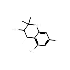 C[C@H]1c2c(C#N)cc(F)cc2NC(C)(C)C1O